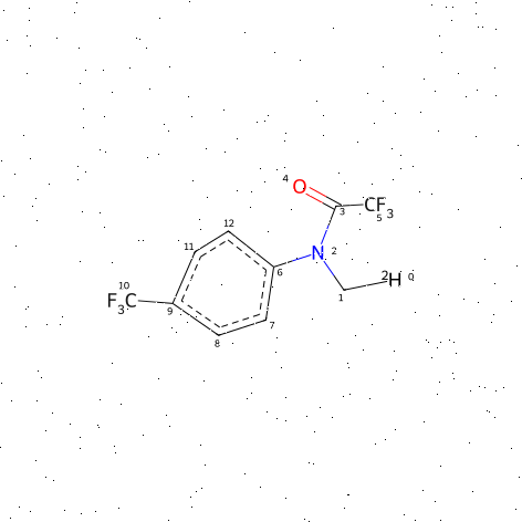 [2H]CN(C(=O)C(F)(F)F)c1ccc(C(F)(F)F)cc1